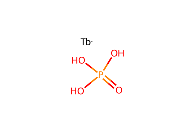 O=P(O)(O)O.[Tb]